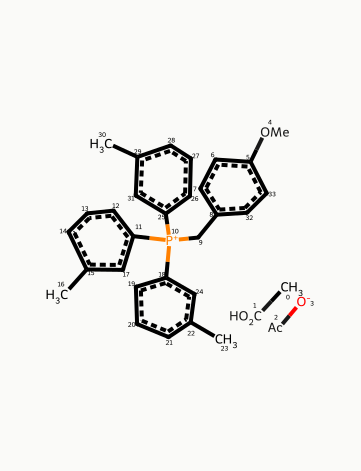 CC(=O)O.CC(=O)[O-].COc1ccc(C[P+](c2cccc(C)c2)(c2cccc(C)c2)c2cccc(C)c2)cc1